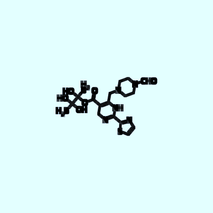 BC(O)(O)C(B)(O)OC(=O)C1=C(CN2CCN(C=O)CC2)NC(c2nccs2)=NC1